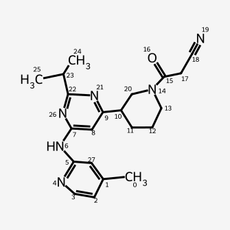 Cc1ccnc(Nc2cc(C3CCCN(C(=O)CC#N)C3)nc(C(C)C)n2)c1